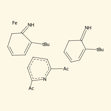 CC(=O)c1cccc(C(C)=O)n1.CC(C)(C)C1=CC=CCC1=N.CC(C)(C)C1=CC=CCC1=N.[Fe]